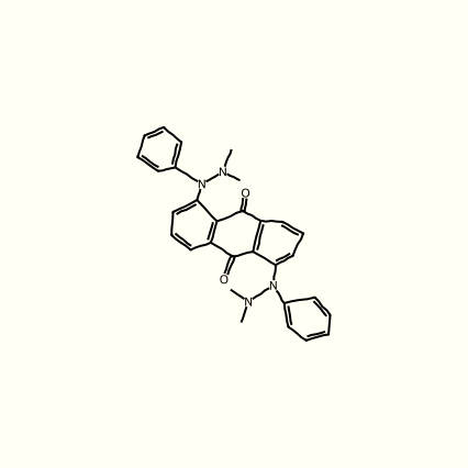 CN(C)N(c1ccccc1)c1cccc2c1C(=O)c1cccc(N(c3ccccc3)N(C)C)c1C2=O